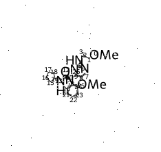 COCC(C)Nc1nccc(N(C(=O)NC2CCCC2)c2ccccc2OC)n1